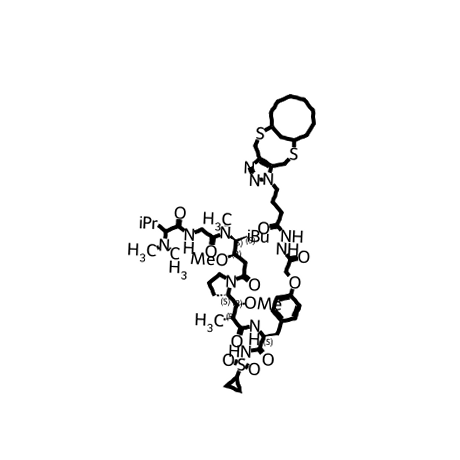 CC[C@H](C)[C@@H]([C@@H](CC(=O)N1CCC[C@H]1[C@H](OC)[C@@H](C)C(=O)N[C@@H](Cc1ccc(OCC(=O)NNC(=O)CCCn2nnc3c2CSC2CCCCCCCC(C2)SC3)cc1)C(=O)NS(=O)(=O)C1CC1)OC)N(C)C(=O)CNC(=O)C(C(C)C)N(C)C